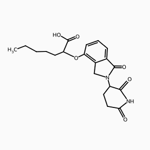 CCCCCC(Oc1cccc2c1CN(C1CCC(=O)NC1=O)C2=O)C(=O)O